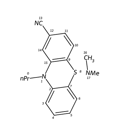 CCCN1c2ccccc2Sc2ccc(C#N)cc21.CNC